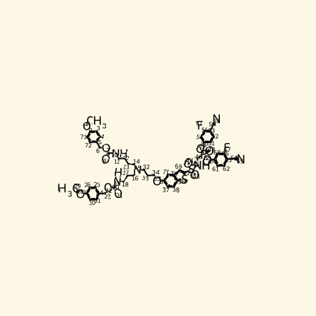 COc1ccc(COC(=O)NCCCCN(CCCNC(=O)OCc2ccc(OC)cc2)CCCOc2ccc3sc(S(=O)(=O)NCP(=O)(Oc4ccc(C#N)c(F)c4)Oc4ccc(C#N)c(F)c4)cc3c2)cc1